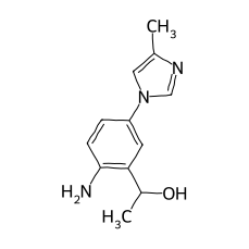 Cc1cn(-c2ccc(N)c(C(C)O)c2)cn1